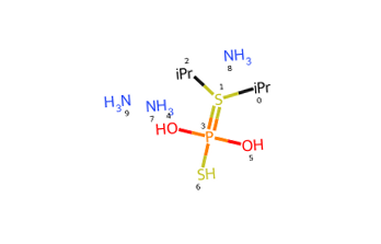 CC(C)S(C(C)C)=P(O)(O)S.N.N.N